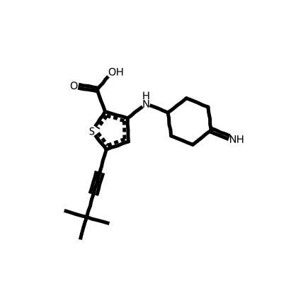 CC(C)(C)C#Cc1cc(NC2CCC(=N)CC2)c(C(=O)O)s1